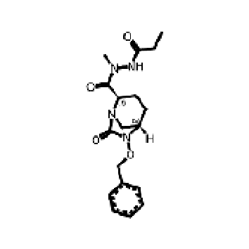 CCC(=O)NN(C)C(=O)[C@H]1CC[C@H]2CN1C(=O)N2OCc1ccccc1